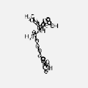 C=CC(=O)N1CCN(c2nc(NCCC(=O)N(C)CCOCCOCCOCCOc3ccc4c(c3)CN(C3CCC(=O)NC3=O)C4=O)nc3c(F)c(-c4cc(O)cc5ccccc45)c(Cl)cc23)CC1